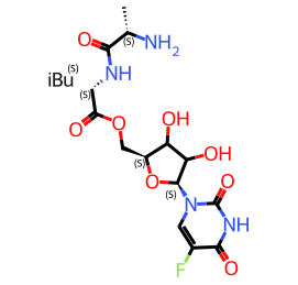 CC[C@H](C)[C@H](NC(=O)[C@H](C)N)C(=O)OC[C@@H]1O[C@H](n2cc(F)c(=O)[nH]c2=O)C(O)C1O